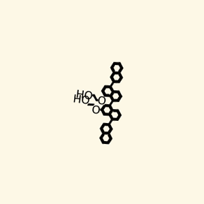 OCCOc1cc2c(-c3ccc4ccccc4c3)cccc2c(-c2cccc3c(-c4ccc5ccccc5c4)cccc23)c1OCCO